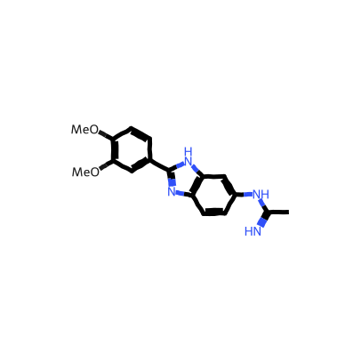 COc1ccc(-c2nc3ccc(NC(C)=N)cc3[nH]2)cc1OC